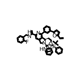 C=Cc1ccc(-c2cccc(-c3nc(C(=C)NCc4ccccc4F)cc4c3[C@@H](CCO[Si](c3ccccc3)(c3ccccc3)C(C)(C)C)N(C(=O)NC(C)C)C4)c2)o1